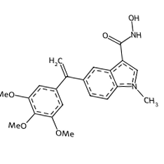 C=C(c1cc(OC)c(OC)c(OC)c1)c1ccc2c(c1)c(C(=O)NO)cn2C